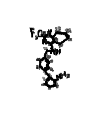 Nc1ccccc1-c1ccc(CNc2nc(C(F)(F)F)nc3c2CCCC3)cc1